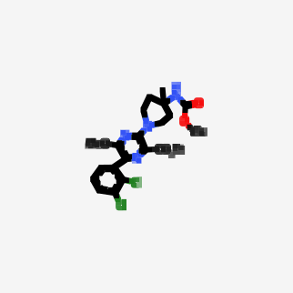 CCOC(=O)c1nc(-c2cccc(Cl)c2Cl)c(OC)nc1N1CCC(C)(NC(=O)OC(C)(C)C)CC1